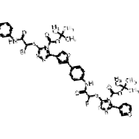 CC(C)(C)OC(=O)n1c(SC(F)C(=O)Nc2ccc(-c3cc(-c4nnc(SC(Br)C(=O)Nc5ccccc5)n4C(=O)OC(C)(C)C)co3)cc2)nnc1-c1ccoc1